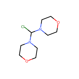 ClC(N1CCOCC1)N1CCOCC1